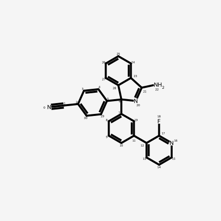 N#Cc1ccc(C2(c3cccc(-c4cccnc4F)c3)N=C(N)c3ccccc32)cc1